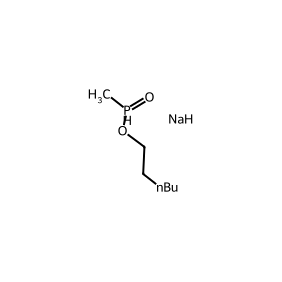 CCCCCCO[PH](C)=O.[NaH]